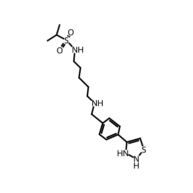 CC(C)S(=O)(=O)NCCCCCNCc1ccc(C2=CSNN2)cc1